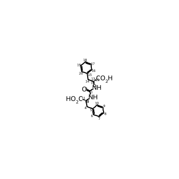 O=C(N[C@@H](Cc1ccccc1)C(=O)O)N[C@@H](Cc1ccccc1)C(=O)O